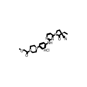 CC[C@]1(C#N)CCN(c2ccnc(Nc3ccc(N4CCN(C(=O)COC)CC4)cc3)n2)C1=O.Cl